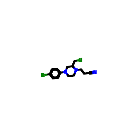 N#CCCN1CCN(c2ccc(Br)cc2)CC1CCl